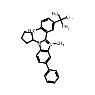 Cc1ccc(C(C)(C)C)cc1-c1n(C2CCCC2)c2ccc(-c3ccccc3)cc2[n+]1C